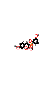 COc1cccc(S(=O)(=O)c2cc3ccc(OC)cc3oc2=O)c1